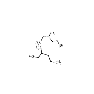 CCC(C)CCO.CCCC(C)CO